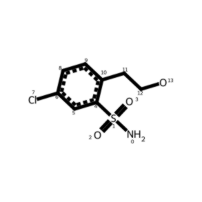 NS(=O)(=O)c1cc(Cl)ccc1CC[O]